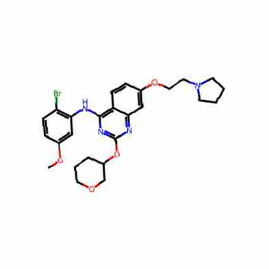 COc1ccc(Br)c(Nc2nc(OC3CCCOC3)nc3cc(OCCN4CCCC4)ccc23)c1